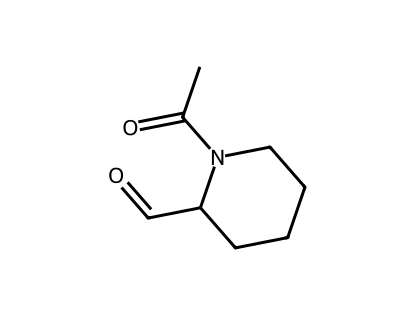 CC(=O)N1CCCCC1C=O